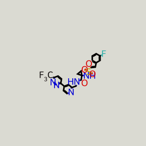 O=C(NCc1cc(-c2ccc(C(F)(F)F)nn2)ccn1)C1(NS(=O)(=O)c2cc3cc(F)ccc3o2)CC1